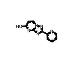 Oc1ccn2nc(-c3ccccn3)nc2n1